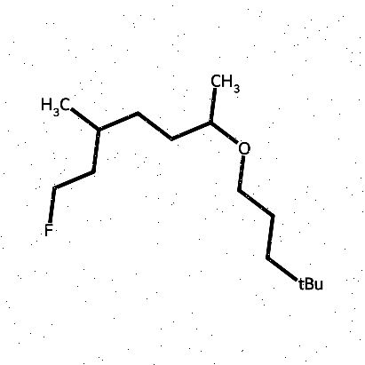 CC(CCF)CCC(C)OCCCC(C)(C)C